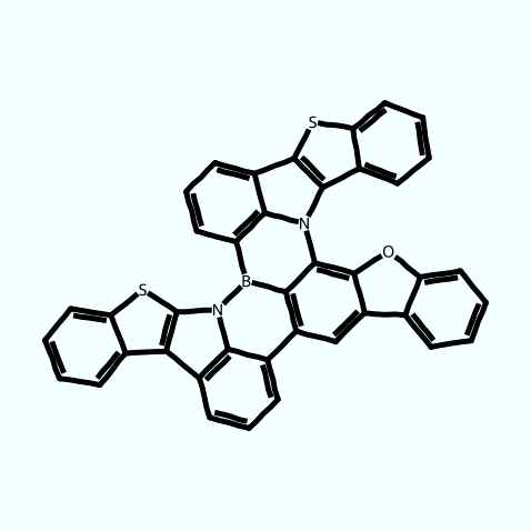 c1ccc2c(c1)oc1c3c4c(cc12)-c1cccc2c5c6ccccc6sc5n(c12)B4c1cccc2c4sc5ccccc5c4n-3c12